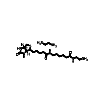 NCCN.NCCNC(=O)CCCCCNC(=O)CCCCC1SC[C@@H]2NC(=O)N[C@H]12